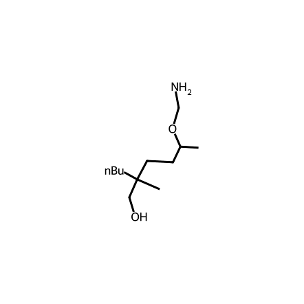 CCCCC(C)(CO)CCC(C)OCN